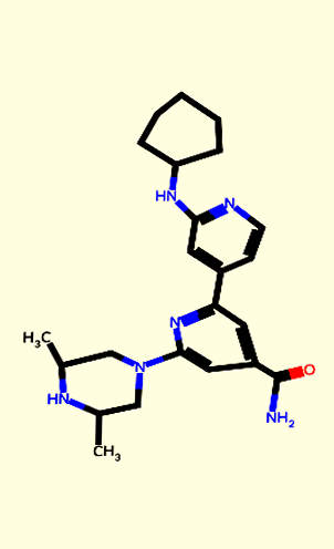 CC1CN(c2cc(C(N)=O)cc(-c3ccnc(NC4CCCCC4)c3)n2)CC(C)N1